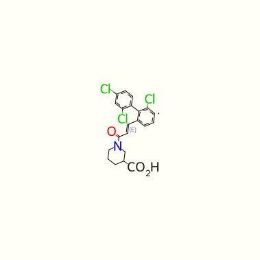 O=C(O)C1CCCN(C(=O)/C=C/c2cc[c]c(Cl)c2-c2ccc(Cl)cc2Cl)C1